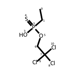 CCP(O)(=S)OCC(Cl)(Cl)Cl